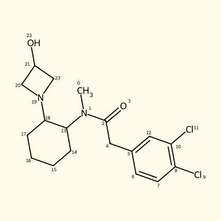 CN(C(=O)Cc1ccc(Cl)c(Cl)c1)C1CCCCC1N1CC(O)C1